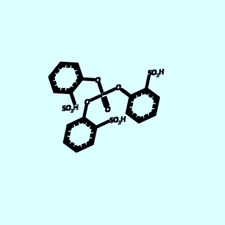 O=P(Oc1ccccc1S(=O)(=O)O)(Oc1ccccc1S(=O)(=O)O)Oc1ccccc1S(=O)(=O)O